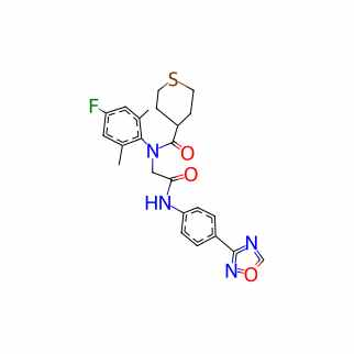 Cc1cc(F)cc(C)c1N(CC(=O)Nc1ccc(-c2ncon2)cc1)C(=O)C1CCSCC1